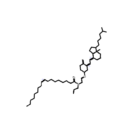 C=C1CCC(OCCN(CCC)C(=O)CCCCCCC/C=C\CCCCCCCC)C/C1=C/C=C1\CCCC2(C)C(CCCCC(C)C)CCC12